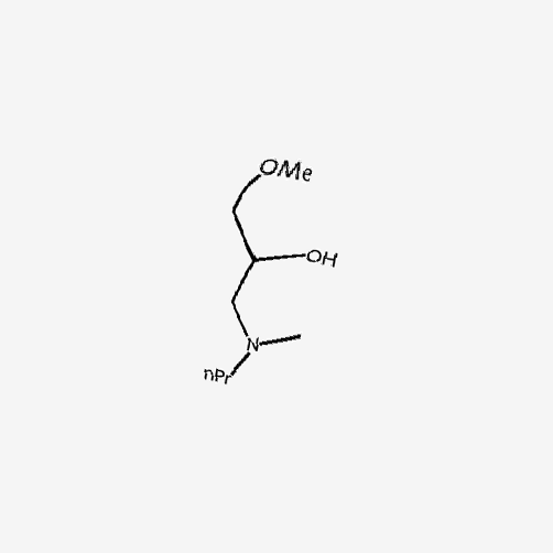 CCCN(C)CC(O)COC